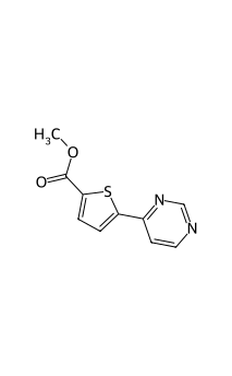 COC(=O)c1ccc(-c2ccncn2)s1